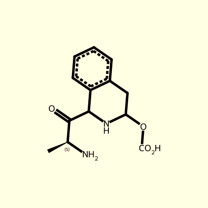 C[C@H](N)C(=O)C1NC(OC(=O)O)Cc2ccccc21